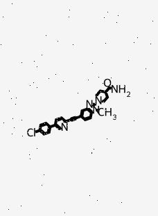 Cn1c(N2CCC(C(N)=O)CC2)nc2cc(C#Cc3ccc(-c4ccc(Cl)cc4)cn3)ccc21